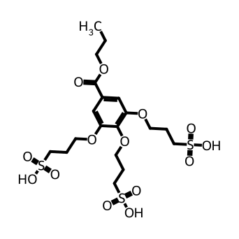 CCCOC(=O)c1cc(OCCCS(=O)(=O)O)c(OCCCS(=O)(=O)O)c(OCCCS(=O)(=O)O)c1